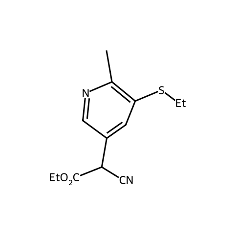 CCOC(=O)C(C#N)c1cnc(C)c(SCC)c1